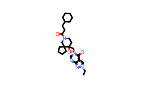 CCn1cc2c(=O)n(CC3(O)CCN(C(=O)CCC4CCCCC4)CC34CCCC4)cnc2n1